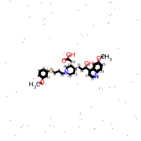 COc1cccc(SCCCN2CC[C@@H](CC[C@H](O)c3ccnc4ccc(OC)cc34)[C@@H](CC(=O)O)C2)c1